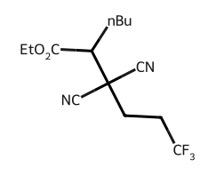 CCCCC(C(=O)OCC)C(C#N)(C#N)CCC(F)(F)F